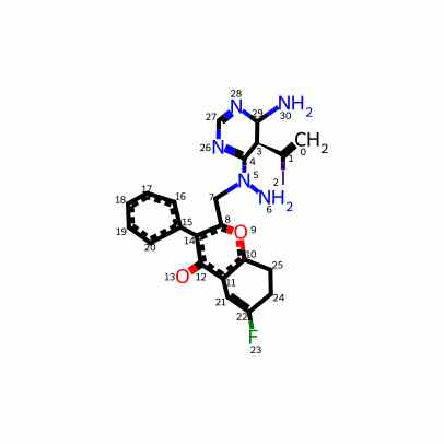 C=C(I)[C@H]1C(N(N)Cc2oc3c(c(=O)c2-c2ccccc2)C=C(F)CC3)=NC=NC1N